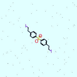 O=S(=O)(c1ccc(CCI)cc1)c1ccc(CCI)cc1